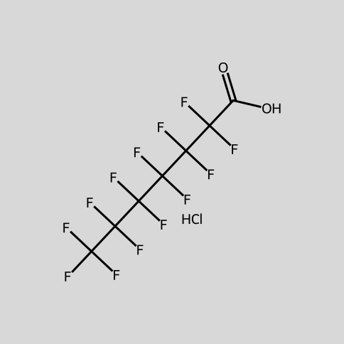 Cl.O=C(O)C(F)(F)C(F)(F)C(F)(F)C(F)(F)C(F)(F)C(F)(F)F